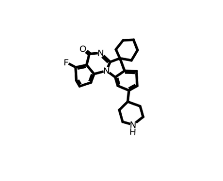 O=c1nc2n(c3cccc(F)c13)-c1cc(C3CCNCC3)ccc1C21CCCCC1